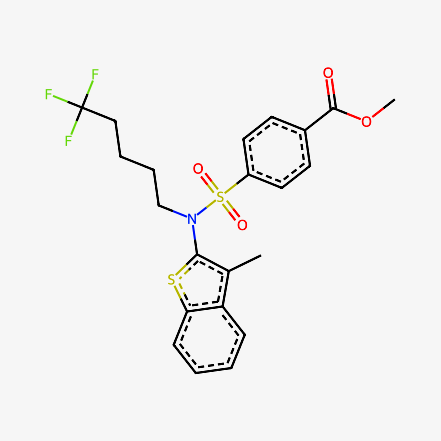 COC(=O)c1ccc(S(=O)(=O)N(CCCCC(F)(F)F)c2sc3ccccc3c2C)cc1